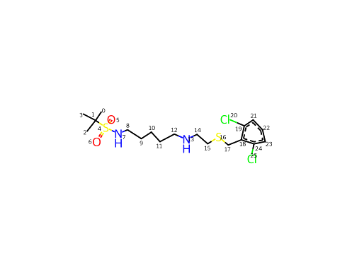 CC(C)(C)S(=O)(=O)NCCCCCNCCSCc1c(Cl)cccc1Cl